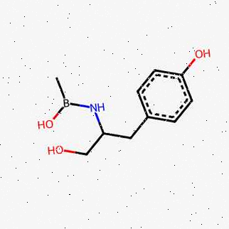 CB(O)NC(CO)Cc1ccc(O)cc1